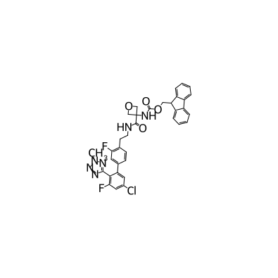 Cn1nnc(-c2c(F)cc(Cl)cc2-c2ccc(CCNC(=O)C3(NC(=O)OCC4c5ccccc5-c5ccccc54)COC3)c(F)c2)n1